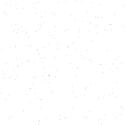 CC1(C)NC2=CC3=CC(=O)CO[C@@H]3C(NCCc3ccccc3)[C@H]2N1O